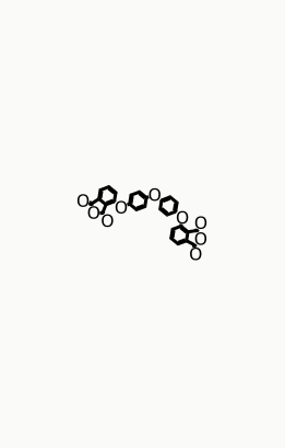 O=C1OC(=O)c2c(Oc3ccc(Oc4ccc(Oc5cccc6c5C(=O)OC6=O)cc4)cc3)cccc21